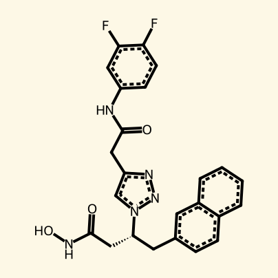 O=C(C[C@@H](Cc1ccc2ccccc2c1)n1cc(CC(=O)Nc2ccc(F)c(F)c2)nn1)NO